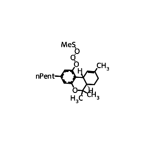 CCCCCc1cc(OOOSC)c2c(c1)OC(C)(C)[C@@H]1CCC(C)=C[C@@H]21